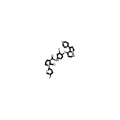 O=C(Nc1ccc(Oc2ccnn3ccc(-c4ccncc4)c23)c(F)c1)c1cccn(-c2ccc(F)cc2)c1=O